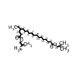 CCC(CCCCCCCCCCCCCC(=O)OCC(C)C)CCC(=O)OCC(C)C